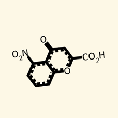 O=C(O)c1cc(=O)c2c([N+](=O)[O-])cccc2o1